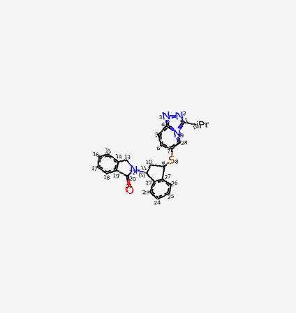 CC(C)c1nnc2ccc(SC3C[C@H](N4Cc5ccccc5C4=O)c4ccccc43)cn12